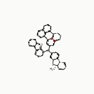 C[C@@]12C=CC=CC1c1ccc(N(c3cccc(-c4cccc5cccc(C6=CC=CCC6)c45)c3)c3cccc4c3oc3ccccc34)cc1S2